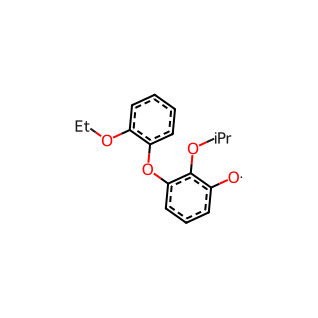 CCOc1ccccc1Oc1cccc([O])c1OC(C)C